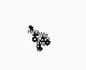 COCC(C)(C(=O)NCC1(C)CCC1)c1cccc(NC(=O)[C@@H](NC(=O)c2ccnn2C)C2c3ccccc3OCC23CC3)c1